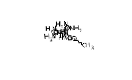 CCCCCCOc1ccc(Nc2nc(N3C[C@H](N)C[C@H](N)C3)nc(N3C[C@H](N)C[C@H](N)C3)n2)cc1